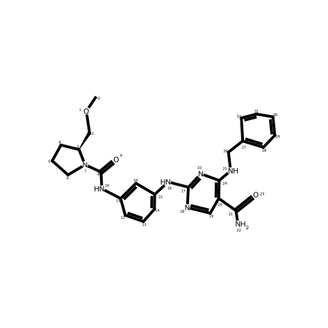 COC[C@@H]1CCCN1C(=O)Nc1cccc(Nc2ncc(C(N)=O)c(NCc3ccccc3)n2)c1